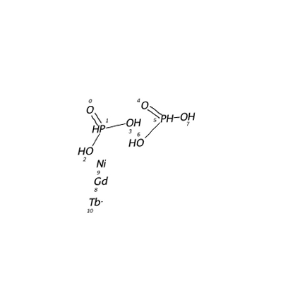 O=[PH](O)O.O=[PH](O)O.[Gd].[Ni].[Tb]